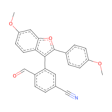 COc1ccc(-c2oc3cc(OC)ccc3c2-c2cc(C#N)ccc2C=O)cc1